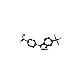 O=C(O)c1ccc(-c2n[nH]c3cc(C(F)(F)F)ccc23)cc1